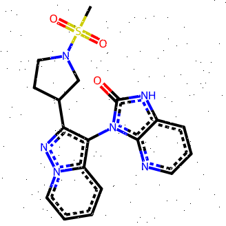 CS(=O)(=O)N1CCC(c2nn3ccccc3c2-n2c(=O)[nH]c3cccnc32)C1